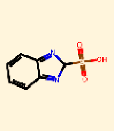 O=S(=O)(O)C1N=c2ccccc2=N1